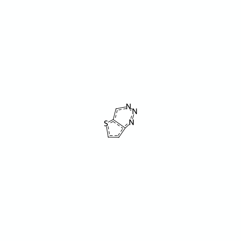 c1cc2nnncc2s1